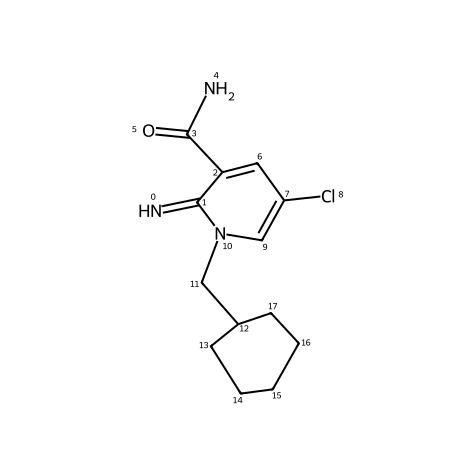 N=c1c(C(N)=O)cc(Cl)cn1CC1CCCCC1